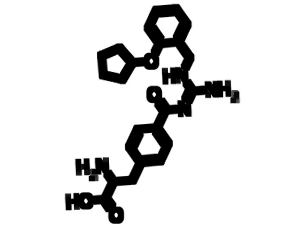 NC(=NC(=O)c1ccc(CC(N)C(=O)O)cc1)NCc1ccccc1OC1CCCC1